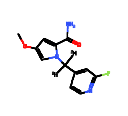 [2H]C([2H])(c1ccnc(F)c1)n1cc(OC)cc1C(N)=O